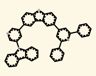 c1ccc(-c2cc(-c3ccc4oc5ccc(-c6cncc(-n7c8ccccc8c8ccccc87)c6)cc5c4c3)cc(-c3ccccc3)n2)cc1